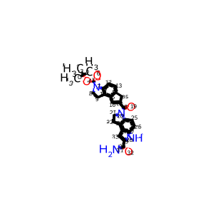 CC(C)(C)OC(=O)N1CCc2c1ccc1c2C=C(C(=O)N2CCc3c2ccc2[nH]c(C(N)=O)cc32)C1